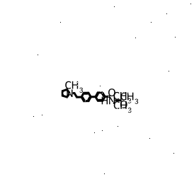 CC(=O)C(C)(C)NC(=O)c1ccc(-c2ccc(CCN3CCC[C@H]3C)cc2)cc1